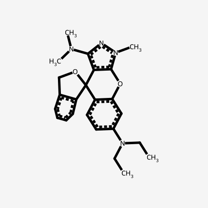 CCN(CC)c1ccc2c(c1)Oc1c(c(N(C)C)nn1C)C21OCc2ccccc21